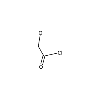 [O]CC(=O)Cl